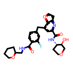 O=C(N[C@H]1CCOC[C@@H]1O)c1cc(Cc2ccc(C(=O)NCC3CCCCO3)c(F)c2)c2occc2n1